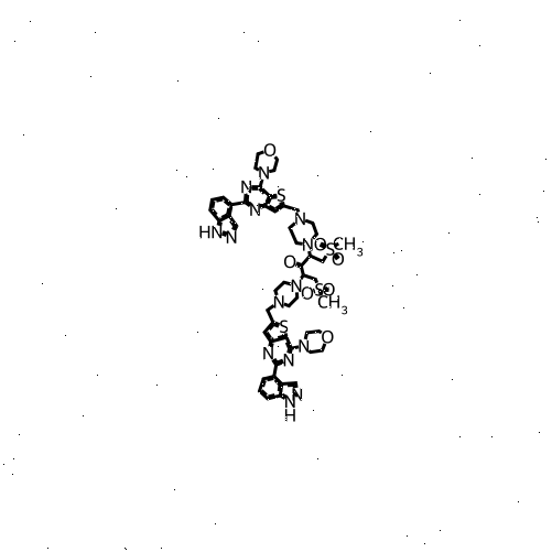 CS(=O)(=O)CC(C(=O)C(CS(C)(=O)=O)N1CCN(Cc2cc3nc(-c4cccc5[nH]ncc45)nc(N4CCOCC4)c3s2)CC1)N1CCN(Cc2cc3nc(-c4cccc5[nH]ncc45)nc(N4CCOCC4)c3s2)CC1